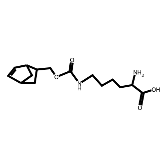 NC(CCCCNC(=O)OCC1CC2C=CC1C2)C(=O)O